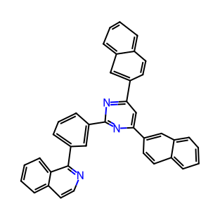 c1cc(-c2nc(-c3ccc4ccccc4c3)cc(-c3ccc4ccccc4c3)n2)cc(-c2nccc3ccccc23)c1